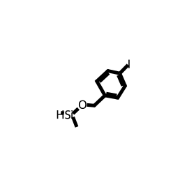 C[SiH](C)OCc1ccc(I)cc1